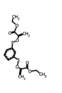 C=C(OSc1cccc(SOC(=C)C(=O)OCC)c1)C(=O)OCC